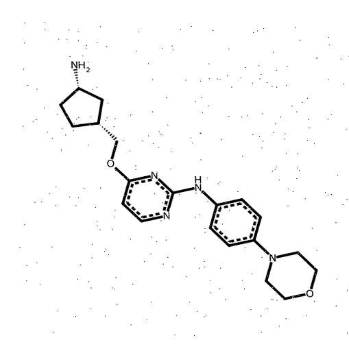 N[C@H]1CC[C@@H](COc2ccnc(Nc3ccc(N4CCOCC4)cc3)n2)C1